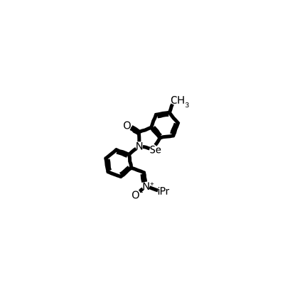 Cc1ccc2[se]n(-c3ccccc3C=[N+]([O-])C(C)C)c(=O)c2c1